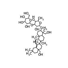 C[C@H]1O[C@@H](OC2CCC3(C)C(CCC4(C)C3C=CC3=C5CC(C)(C)CCC5(CO)CCC34C)C2(C)CO)[C@H](O)[C@@H](O[C@@H]2O[C@H](CO)[C@@H](O)[C@H](O)[C@H]2O)[C@H]1O